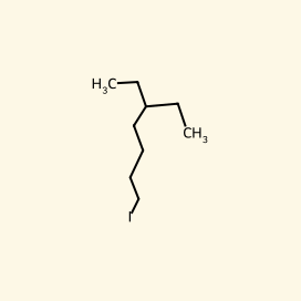 CCC(CC)CCCCI